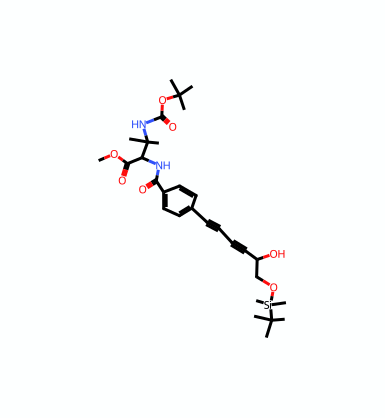 COC(=O)C(NC(=O)c1ccc(C#CC#CC(O)CO[Si](C)(C)C(C)(C)C)cc1)C(C)(C)NC(=O)OC(C)(C)C